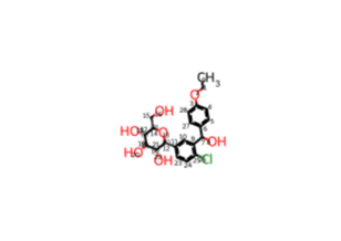 CCOc1ccc(C(O)c2cc([C@@H]3O[C@H](CO)[C@@H](O)[C@H](O)[C@H]3O)ccc2Cl)cc1